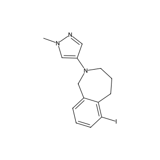 Cn1cc(N2CCCc3c(I)cccc3C2)cn1